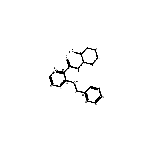 O=C(NC1CCCCC1O)c1ncccc1OCc1ccccc1